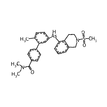 Cc1ccc([AsH]c2cccc3c2CCN(S(C)(=O)=O)C3)cc1-c1ccc(C(=O)N(C)C)cc1